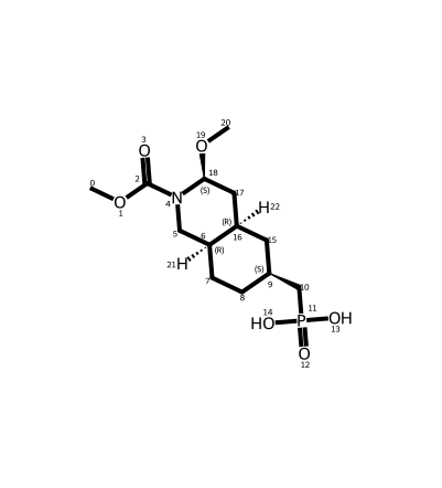 COC(=O)N1C[C@@H]2CC[C@H](CP(=O)(O)O)C[C@@H]2C[C@@H]1OC